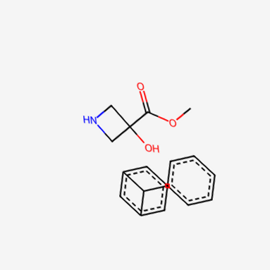 C1=CC2=CC(=C1)C2c1ccccc1.COC(=O)C1(O)CNC1